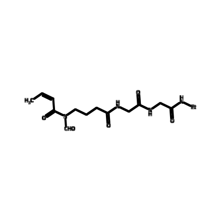 C/C=C\C(=O)N(C=O)CCCC(=O)NCC(=O)NCC(=O)NCC